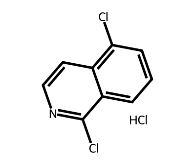 Cl.Clc1cccc2c(Cl)nccc12